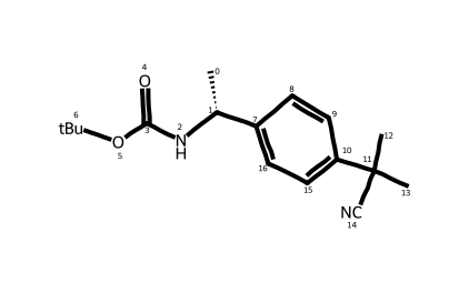 C[C@@H](NC(=O)OC(C)(C)C)c1ccc(C(C)(C)C#N)cc1